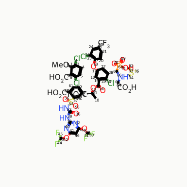 COc1c(Cl)ccc(Cl)c1C(=O)O.C[C@H](OC(=O)c1cc(Oc2ccc(C(F)(F)F)cc2Cl)ccc1Cl)C(=O)O.C[S+](C)C.O=C(Nc1nc(OC(F)F)cc(OC(F)F)n1)NS(=O)(=O)c1ccccc1C(=O)O.O=C(O)CNCP(=O)([O-])O